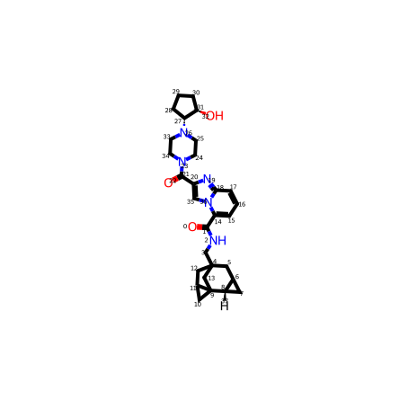 O=C(NCC12CC3C[C@@H]3C3(CC3C1)C2)c1cccc2nc(C(=O)N3CCN([C@@H]4CCC[C@H]4O)CC3)cn12